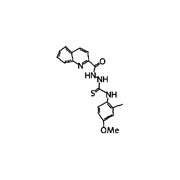 COc1ccc(NC(=S)NNC(=O)c2ccc3ccccc3n2)c(C)c1